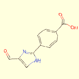 O=Cc1c[nH]c(-c2ccc(C(=O)O)cc2)n1